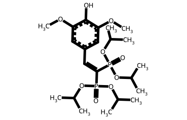 COc1cc(C=C(P(=O)(OC(C)C)OC(C)C)P(=O)(OC(C)C)OC(C)C)cc(OC)c1O